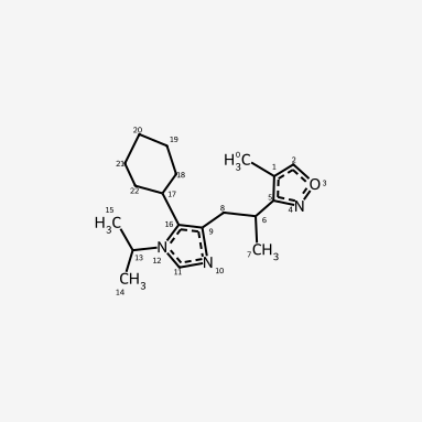 Cc1conc1C(C)Cc1ncn(C(C)C)c1C1CCCCC1